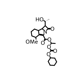 COC1CCCC2C1=C(C(=O)OC(C)OC(=O)OC1CCCCC1)N1C(=O)C([C@@H](C)O)C21